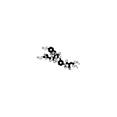 Cc1ccc(CNC(=O)[C@H](Cc2cccc(N(C)C(=O)C(C#N)=CC(C)C)c2)N[C@](C=O)(NC(=O)c2cnc(C)s2)[C@@H](C)O)cc1